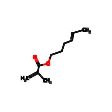 C=C(C)C(=O)OCCCC=CC